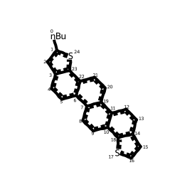 CCCCc1cc2ccc3c4ccc5c(ccc6ccsc65)c4ccc3c2s1